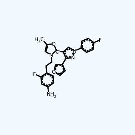 CC1=CN(CCc2ccc(N)cc2F)[C@H](c2cn(-c3ccc(F)cc3)nc2-c2ccoc2)O1